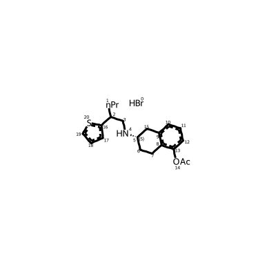 Br.CCCC(CN[C@H]1CCc2c(cccc2OC(C)=O)C1)c1cccs1